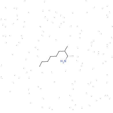 CCCCCCC(C)[C@H](C)N